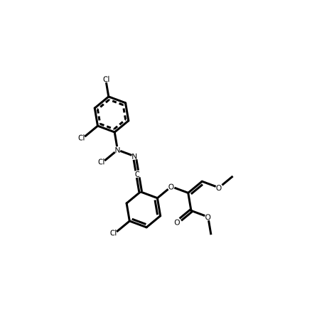 COC=C(OC1=CC=C(Cl)CC1=C=NN(Cl)c1ccc(Cl)cc1Cl)C(=O)OC